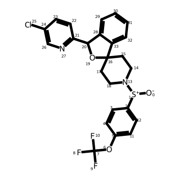 [O-][S+](c1ccc(OC(F)(F)F)cc1)N1CCC2(CC1)OC(c1ccc(Cl)cn1)c1ccccc12